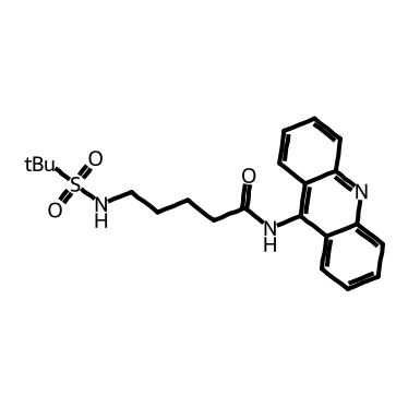 CC(C)(C)S(=O)(=O)NCCCCC(=O)Nc1c2ccccc2nc2ccccc12